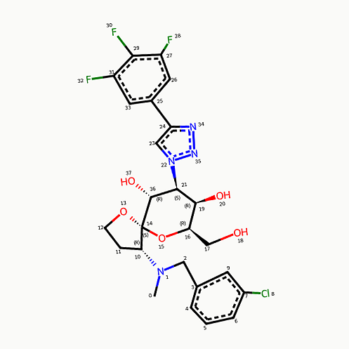 CN(Cc1cccc(Cl)c1)[C@@H]1CCO[C@]12O[C@H](CO)[C@H](O)[C@H](n1cc(-c3cc(F)c(F)c(F)c3)nn1)[C@H]2O